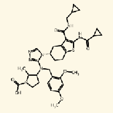 COc1ccc(CN(c2nncn2[C@H]2CCc3sc(NC(=O)C4CC4)c(C(=O)NCC4CC4)c3C2)C2CCN(C(=O)O)C2C)c(OC)c1